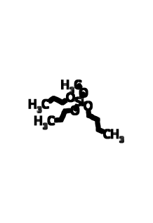 CCCCO[Si](OC)(OCCC)OCCC